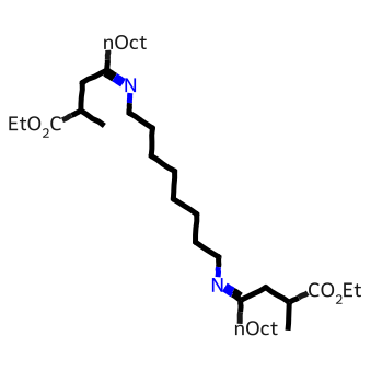 CCCCCCCCC(CC(C)C(=O)OCC)=NCCCCCCCCN=C(CCCCCCCC)CC(C)C(=O)OCC